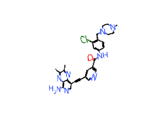 Cc1nc2c(C#Cc3cncc(C(=O)Nc4ccc(CN5CCN(C)CC5)c(Cl)c4)c3)cnc(N)c2nc1C